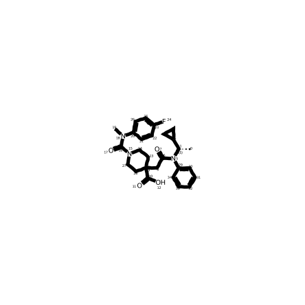 C[C@@H](C1CC1)N(C(=O)CC1(C(=O)O)CCN(C(=O)N(C)c2ccc(F)cc2)CC1)c1ccccc1